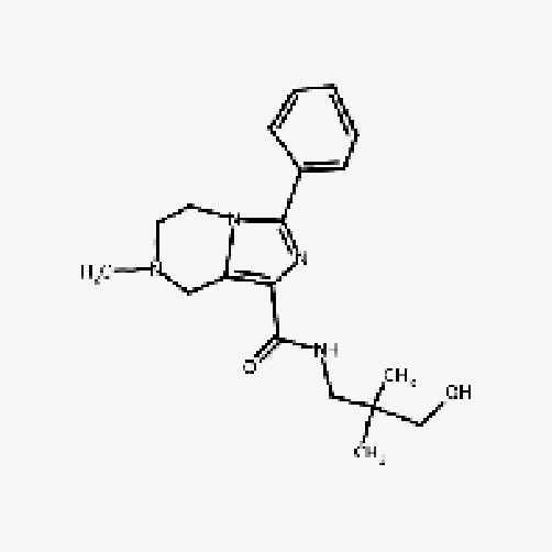 CN1CCn2c(-c3ccccc3)nc(C(=O)NCC(C)(C)CO)c2C1